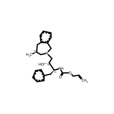 C=CCOC(=O)N[C@@H](Cc1ccccc1)[C@H](O)CN1Cc2ccccc2C[C@H](C)C1